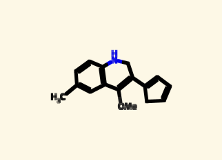 COC1=C(C2=CC=CC2)CNc2ccc(C)cc21